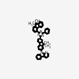 CC1(C)c2cc(-c3nc(-c4ccccc4)nc(-c4cccc5c4-c4ccccc4C5(C)C)n3)ccc2-c2ccc(-n3c4ccccc4c4cccnc43)cc21